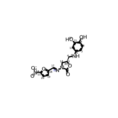 O=C1O[C@H](CNc2ccc(O)c(O)c2)CN1/N=C/c1ccc([N+](=O)[O-])o1